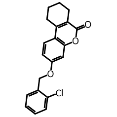 O=c1oc2cc(OCc3ccccc3Cl)ccc2c2c1CCCC2